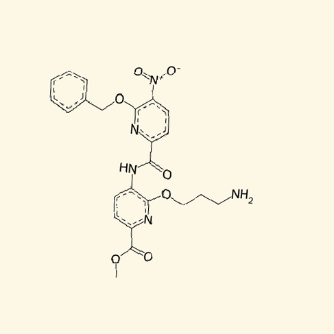 COC(=O)c1ccc(NC(=O)c2ccc([N+](=O)[O-])c(OCc3ccccc3)n2)c(OCCCN)n1